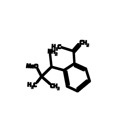 C=C(C)c1ccccc1C(N)C(C)(C)OC